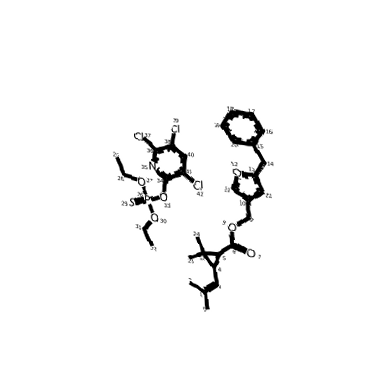 CC(C)=CC1C(C(=O)OCc2coc(Cc3ccccc3)c2)C1(C)C.CCOP(=S)(OCC)Oc1nc(Cl)c(Cl)cc1Cl